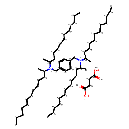 CCCCCCCCCCCC(C)N(Cc1ccc(CN(C(C)CCCCCCCCCCC)C(C)CCCCCCCCCCC)cc1)C(C)CCCCCCCCCCC.O=C(O)CCC(=O)O